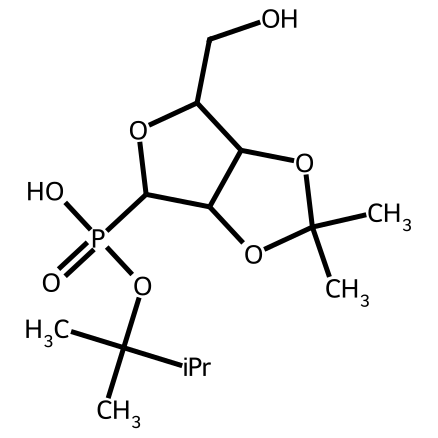 CC(C)C(C)(C)OP(=O)(O)C1OC(CO)C2OC(C)(C)OC21